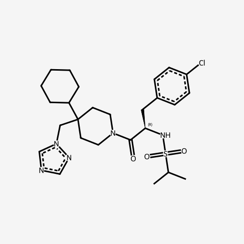 CC(C)S(=O)(=O)N[C@H](Cc1ccc(Cl)cc1)C(=O)N1CCC(Cn2cncn2)(C2CCCCC2)CC1